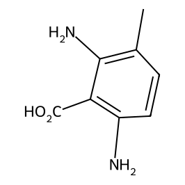 Cc1ccc(N)c(C(=O)O)c1N